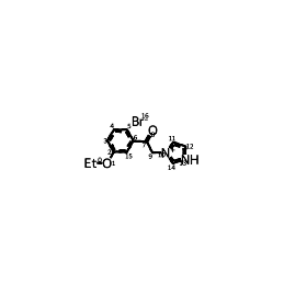 CCOc1cccc(C(=O)C[n+]2cc[nH]c2)c1.[Br-]